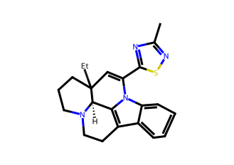 CCC12C=C(c3nc(C)ns3)n3c4c(c5ccccc53)CCN(CCC1)[C@H]42